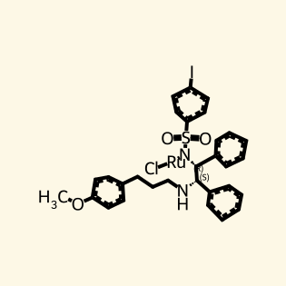 COc1ccc(CCCN[C@@H](c2ccccc2)[C@@H](c2ccccc2)[N]([Ru][Cl])S(=O)(=O)c2ccc(I)cc2)cc1